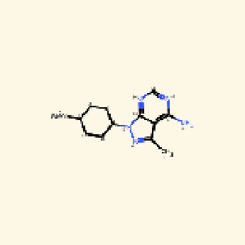 CNC1CCC(n2nc(C)c3c(N)ncnc32)CC1